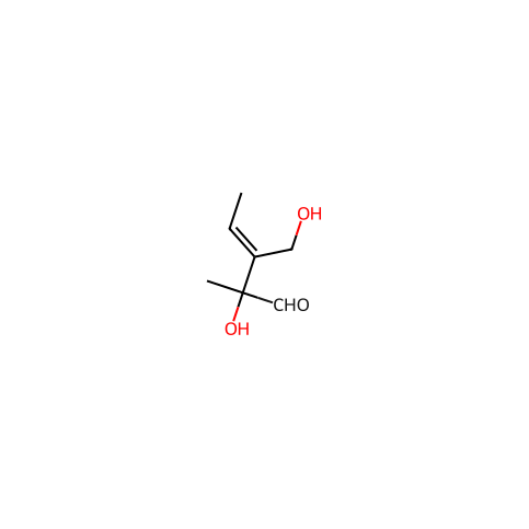 CC=C(CO)C(C)(O)C=O